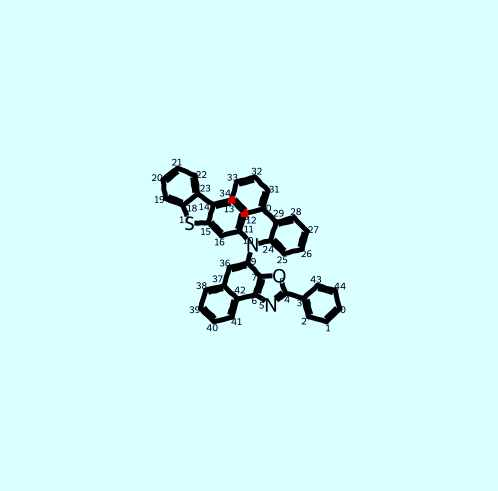 c1ccc(-c2nc3c(o2)c(N(c2ccc4c(c2)sc2ccccc24)c2ccccc2-c2ccccc2)cc2ccccc23)cc1